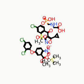 COC(=O)c1cc(Oc2ccc(Cl)cc2Cl)ccc1[N+](=O)[O-].CS(=O)(=O)c1cc(Cl)ccc1C(=O)c1cnoc1C1CC1.C[S+](C)C.O=C(O)CNCP(=O)([O-])O